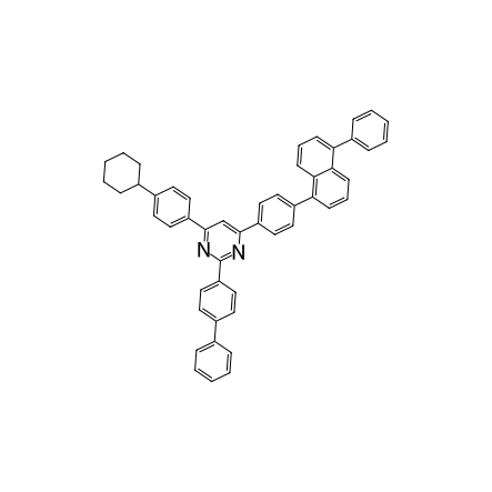 c1ccc(-c2ccc(-c3nc(-c4ccc(-c5cccc6c(-c7ccccc7)cccc56)cc4)cc(-c4ccc(C5CCCCC5)cc4)n3)cc2)cc1